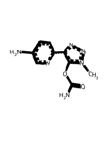 Cn1nnc(-c2ccc(N)cn2)c1OC(N)=O